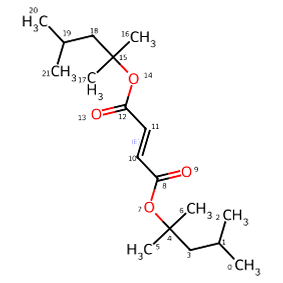 CC(C)CC(C)(C)OC(=O)/C=C/C(=O)OC(C)(C)CC(C)C